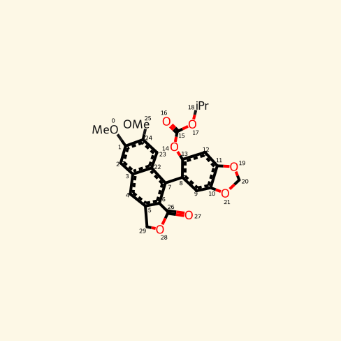 COc1cc2cc3c(c(-c4cc5c(cc4OC(=O)OC(C)C)OCO5)c2cc1OC)C(=O)OC3